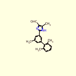 Cc1cc(-c2nc(C=O)c(C)[nH]2)cc(-c2c(C)cccc2C)c1